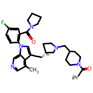 Cc1cncc2c1c(C[C@@H]1CCN(CC3CCN(C(=O)C(C)C)CC3)C1)cn2-c1ccc(F)cc1C(=O)N1CCCC1